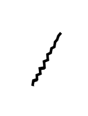 [CH2]C=CCCC=CCCCCCCCCCC